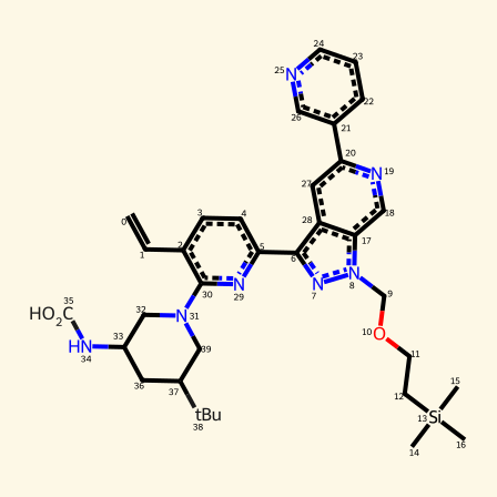 C=Cc1ccc(-c2nn(COCC[Si](C)(C)C)c3cnc(-c4cccnc4)cc23)nc1N1CC(NC(=O)O)CC(C(C)(C)C)C1